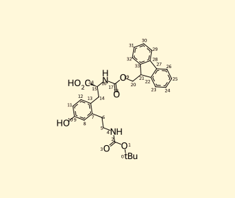 CC(C)(C)OC(=O)NCCc1cc(O)ccc1C[C@H](NC(=O)OCC1c2ccccc2-c2ccccc21)C(=O)O